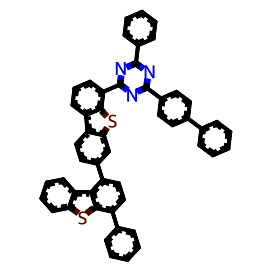 c1ccc(-c2ccc(-c3nc(-c4ccccc4)nc(-c4cccc5c4sc4cc(-c6ccc(-c7ccccc7)c7sc8ccccc8c67)ccc45)n3)cc2)cc1